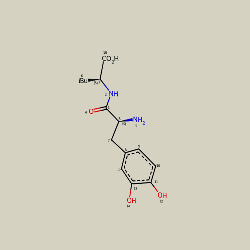 CCC(C)[C@H](NC(=O)[C@@H](N)Cc1ccc(O)c(O)c1)C(=O)O